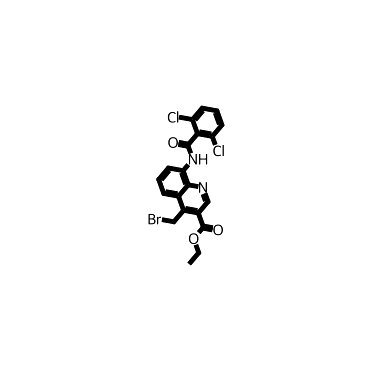 CCOC(=O)c1cnc2c(NC(=O)c3c(Cl)cccc3Cl)cccc2c1CBr